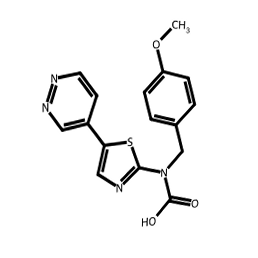 COc1ccc(CN(C(=O)O)c2ncc(-c3ccnnc3)s2)cc1